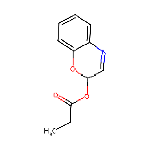 CCC(=O)OC1C=Nc2ccccc2O1